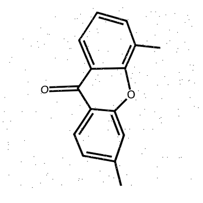 Cc1ccc2c(=O)c3cccc(C)c3oc2c1